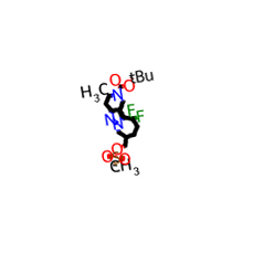 C[C@@H]1Cc2nn3c(c2CN1C(=O)OC(C)(C)C)C(F)(F)CCC(COS(C)(=O)=O)C3